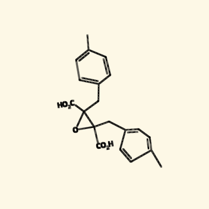 Cc1ccc(CC2(C(=O)O)OC2(Cc2ccc(C)cc2)C(=O)O)cc1